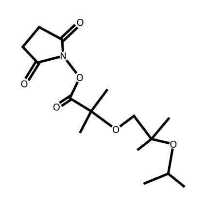 CC(C)OC(C)(C)COC(C)(C)C(=O)ON1C(=O)CCC1=O